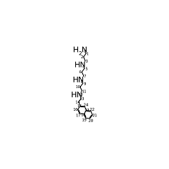 NCCCNCCCNCCCNCCc1ccc2ccccc2c1